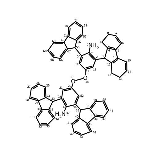 Nc1c(C2C3=C(C=CCC3)C3=C2CCC=C3)cc(OOc2cc(C3c4ccccc4-c4ccccc43)c(N)c(C3c4ccccc4-c4ccccc43)c2)cc1C1c2ccccc2-c2ccccc21